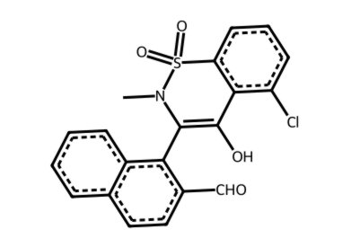 CN1C(c2c(C=O)ccc3ccccc23)=C(O)c2c(Cl)cccc2S1(=O)=O